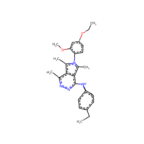 CCOc1ccc(-n2c(C)c3c(C)nnc(Nc4ccc(CC)cc4)c3c2C)c(OC)c1